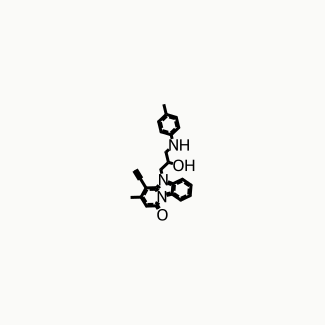 C#Cc1c(C)cc(=O)n2c3ccccc3n(CC(O)CNc3ccc(C)cc3)c12